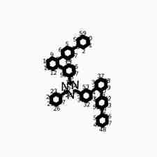 c1ccc(-c2ccc(-c3ccccc3-c3cccc(-c4nc(-c5ccccc5)nc(-c5cccc(-c6ccccc6-c6ccc(-c7ccccc7)cc6)c5)n4)c3)cc2)cc1